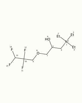 CC[N+](CC)(CC)CC(O)COCC(F)(F)C(F)F